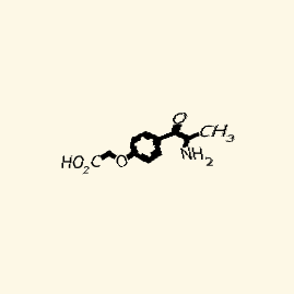 CC(N)C(=O)c1ccc(OCC(=O)O)cc1